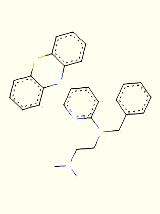 CN(C)CCN(Cc1ccccc1)c1ccccn1.c1ccc2c(c1)Nc1ccccc1S2